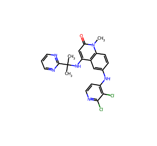 Cn1c(=O)cc(NC(C)(C)c2ncccn2)c2cc(Nc3ccnc(Cl)c3Cl)ccc21